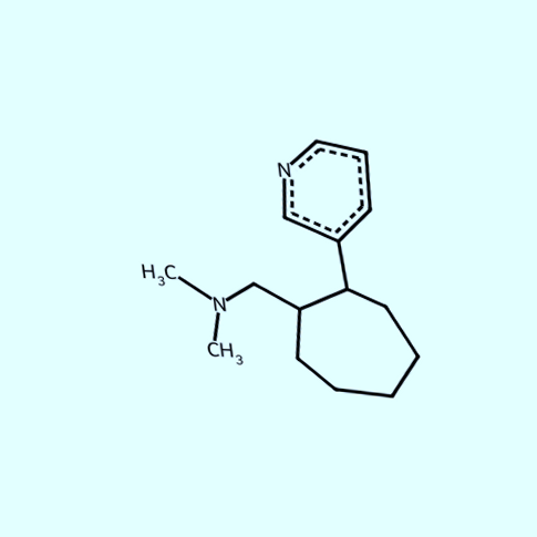 CN(C)CC1CCCCCC1c1cccnc1